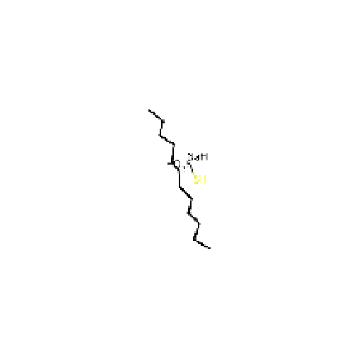 CCCCCCCCCCCC.O=S(=O)(O)S.[NaH]